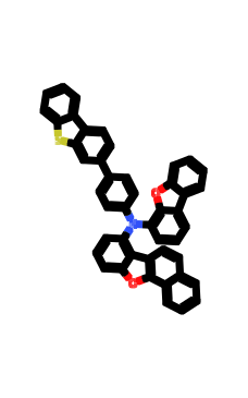 c1ccc2c(c1)ccc1c2oc2cccc(N(c3ccc(-c4ccc5c(c4)sc4ccccc45)cc3)c3cccc4c3oc3ccccc34)c21